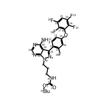 CC(C)(C)OC(=O)NCCCn1nc(-c2ccc(Oc3c(F)c(F)cc(F)c3F)cc2F)c2c(N)ncnc21